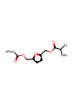 CCCCCC(=O)OCc1ccc(COC(=O)C(CC)CCCC)o1